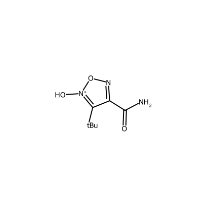 CC(C)(C)c1c(C(N)=O)no[n+]1O